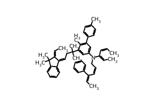 C/C=C\C(=C/C)N(C/C=C\C(=C/C)c1ccccc1)c1cc(-c2ccc(C)cc2)c(C)c(C(C)(C)C/C=C2\C(=C/C)C(C)(C)c3ccccc32)c1